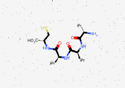 CC(C)[C@H](N)C(=O)N[C@H](C(=O)N[C@H](C(=O)N[C@@H](CS)C(=O)O)C(C)C)C(C)C